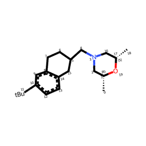 C[C@@H]1CN(CC2CCc3cc(C(C)(C)C)ccc3C2)C[C@H](C)O1